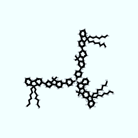 CCCCCCCC1(CCCCCCC)c2ccccc2-c2ccc(-c3ccc4c(c3)C(C)(C)c3cc(-c5ccc(N(c6ccc(-c7ccc8c(c7)C(C)(C)c7cc(-c9ccc%10c(c9)C(CCCCCCC)(CCCCCCC)c9ccccc9-%10)ccc7-8)cc6)c6cc7c(c8ccccc68)-c6cc8c(cc6C7(C)C)-c6ccccc6C8(CCCCCCC)CCCCCCC)cc5)ccc3-4)cc21